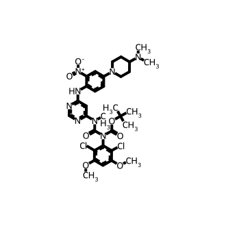 COc1cc(OC)c(Cl)c(N(C(=O)OC(C)(C)C)C(=O)N(C)c2cc(Nc3ccc(N4CCC(N(C)C)CC4)cc3[N+](=O)[O-])ncn2)c1Cl